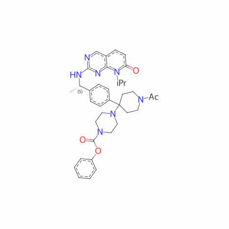 CC(=O)N1CCC(c2ccc([C@H](C)Nc3ncc4ccc(=O)n(C(C)C)c4n3)cc2)(N2CCN(C(=O)Oc3ccccc3)CC2)CC1